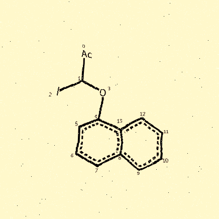 CC(=O)C(I)Oc1cccc2ccccc12